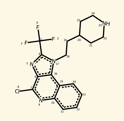 FC(F)(F)c1nc2c(Cl)nc3ccccc3c2n1CCC1CCNCC1